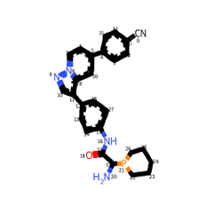 N#Cc1ccc(-c2ccn3ncc(-c4ccc(NC(=O)C(N)P5CCCCC5)cc4)c3c2)cc1